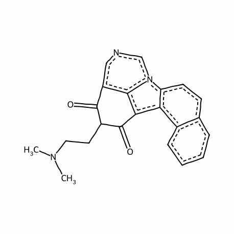 CN(C)CCC1C(=O)c2cncn3c2c(c2c4ccccc4ccc23)C1=O